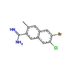 Cc1cc2cc(Br)c(Cl)cc2cc1C(=N)N